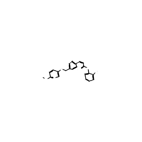 COc1ccc(NCc2ccc(/C=C\C(=O)Nc3ccccc3N)cc2)cn1